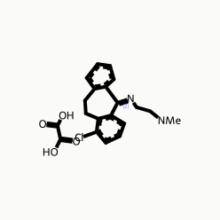 CNCC/N=C1/c2ccccc2CCc2c(Cl)cccc21.O=C(O)C(=O)O